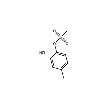 Cc1ccc(OS(C)(=O)=O)cc1.Cl